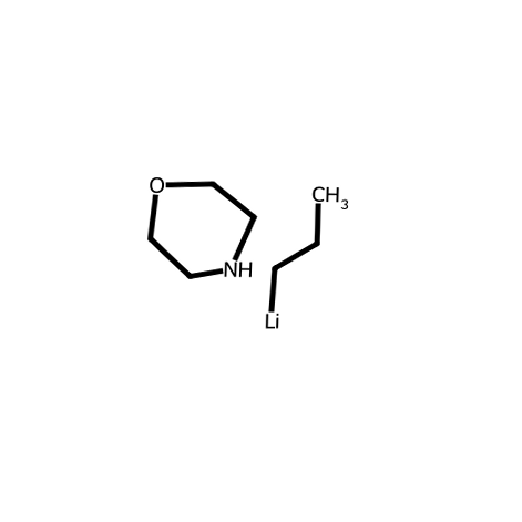 C1COCCN1.[Li][CH2]CC